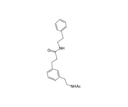 CC(=O)NCCc1cccc(CCC(=O)NCCc2ccccc2)c1